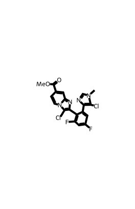 COC(=O)c1ccn2c(Cl)c(-c3c(F)cc(F)cc3-c3ncn(C)c3Cl)nc2c1